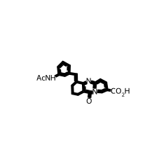 CC(=O)Nc1cccc(/C=C2\CCCc3c2nc2ccc(C(=O)O)cn2c3=O)c1